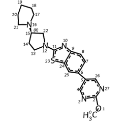 COc1ncc(-c2ccc3nc(N4CC[C@@H](N5CCCCC5)C4)sc3c2)cn1